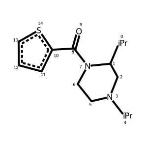 CC(C)C1CN(C(C)C)CCN1C(=O)c1cccs1